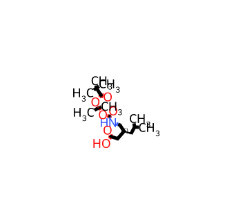 CC(C)C[C@H](CNC(=O)OC(C)(C)OC(=O)C(C)(C)C)CC(=O)O